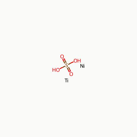 O=S(=O)(O)O.[Ni].[Ti]